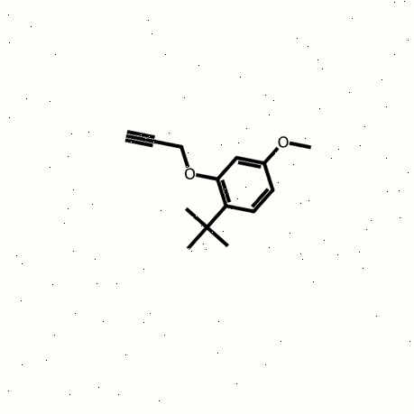 C#CCOc1cc(OC)ccc1C(C)(C)C